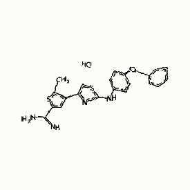 Cc1sc(C(=N)N)cc1-c1csc(Nc2ccc(Oc3ccccc3)cc2)n1.Cl